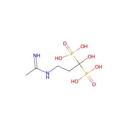 CC(=N)NCCC(O)(P(=O)(O)O)P(=O)(O)O